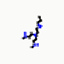 CCCNCCN(CCNC)CCNC